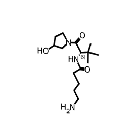 CC(C)(C)[C@H](NC(=O)CCCCN)C(=O)N1CCC(O)C1